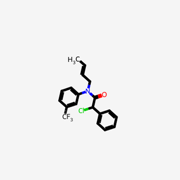 CC=CCN(C(=O)C(Cl)c1ccccc1)c1cccc(C(F)(F)F)c1